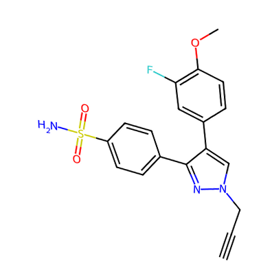 C#CCn1cc(-c2ccc(OC)c(F)c2)c(-c2ccc(S(N)(=O)=O)cc2)n1